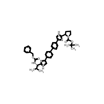 CC(C)[C@H](NC(=O)OCc1ccccc1)c1nc(-c2ccc(-c3ccc(-c4c[nH]c(C5CCCN5C(=O)OC(C)(C)C)n4)cc3)cc2)c[nH]1